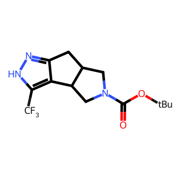 CC(C)(C)OC(=O)N1CC2Cc3n[nH]c(C(F)(F)F)c3C2C1